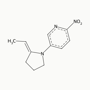 C/C=C1\CCCN1c1ccc([N+](=O)[O-])nc1